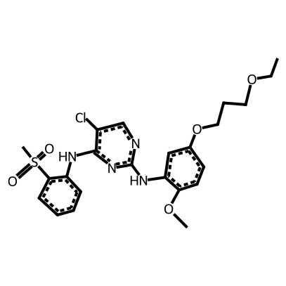 CCOCCCOc1ccc(OC)c(Nc2ncc(Cl)c(Nc3ccccc3S(C)(=O)=O)n2)c1